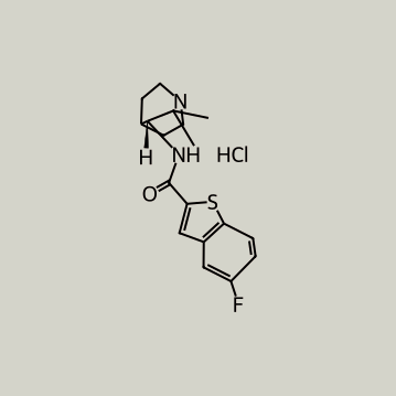 CC1(C)[C@H](NC(=O)c2cc3cc(F)ccc3s2)C2CCN1CC2.Cl